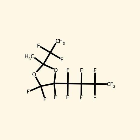 CC(F)(F)C1(C)OC(F)(F)C(F)(C(F)(F)C(F)(F)C(F)(F)C(F)(F)F)O1